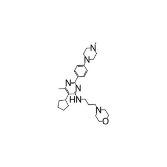 Cc1nc(-c2ccc(N3CCN(C)CC3)cc2)nc(NCCCN2CCOCC2)c1C1CCCC1